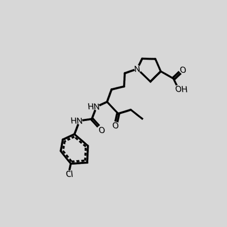 CCC(=O)C(CCCN1CCC(C(=O)O)C1)NC(=O)Nc1ccc(Cl)cc1